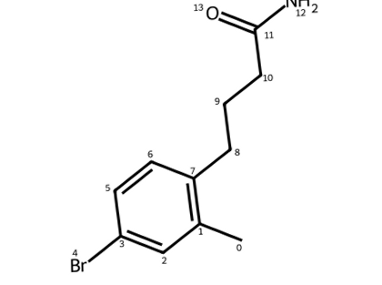 Cc1cc(Br)ccc1CCCC(N)=O